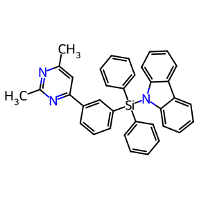 Cc1cc(-c2cccc([Si](c3ccccc3)(c3ccccc3)n3c4ccccc4c4ccccc43)c2)nc(C)n1